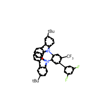 CC(C)(C)c1ccc2c(c1)c1ccccc1n2-c1cc(-c2cc(F)cc(F)c2)c(C(F)(F)F)cc1-n1c2ccccc2c2cc(C(C)(C)C)ccc21